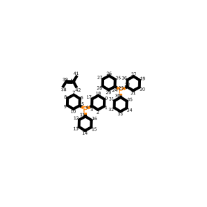 C1CCC(P(C2CCCCC2)C2CCCCC2)CC1.C1CCC(P(C2CCCCC2)C2CCCCC2)CC1.CC=C(C)C